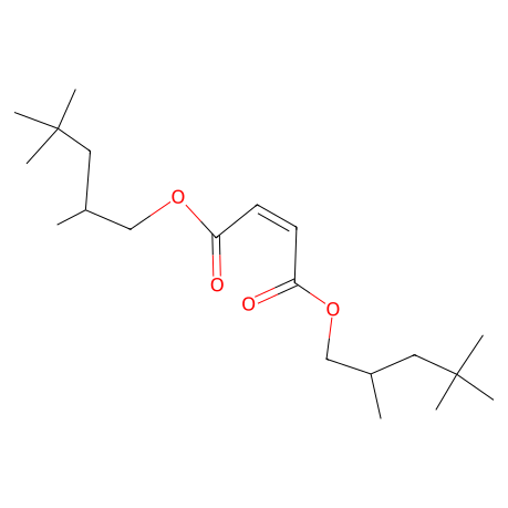 CC(COC(=O)/C=C\C(=O)OCC(C)CC(C)(C)C)CC(C)(C)C